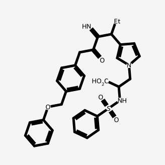 CCC(C(=N)C(=O)Cc1ccc(COc2ccccc2)cc1)c1ccn(CC(NS(=O)(=O)c2ccccc2)C(=O)O)c1